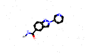 CC(C)NC(=O)c1ccc2nn(-c3cccnc3)cc2c1